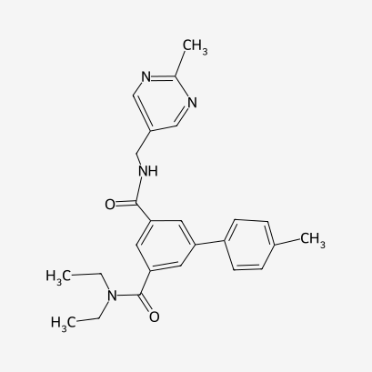 CCN(CC)C(=O)c1cc(C(=O)NCc2cnc(C)nc2)cc(-c2ccc(C)cc2)c1